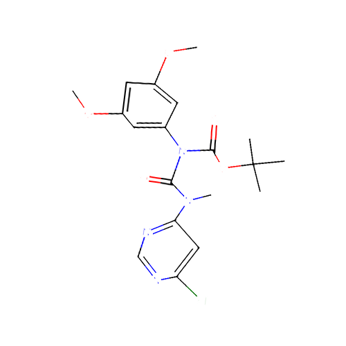 COc1cc(OC)cc(N(C(=O)OC(C)(C)C)C(=O)N(C)c2cc(Cl)ncn2)c1